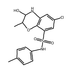 Cc1ccc(NS(=O)(=O)c2cc(Cl)cc3c2OC(C)C(O)N3)cc1